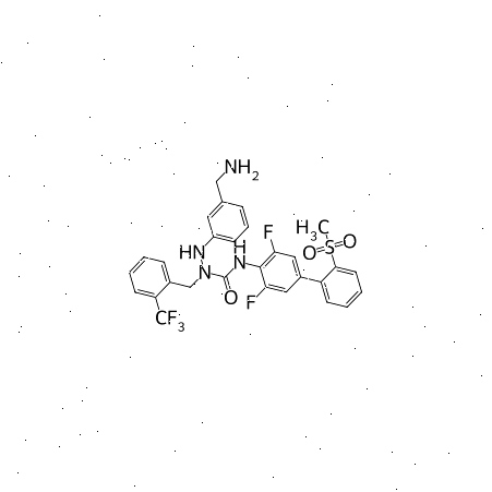 CS(=O)(=O)c1ccccc1-c1cc(F)c(NC(=O)N(Cc2ccccc2C(F)(F)F)Nc2cccc(CN)c2)c(F)c1